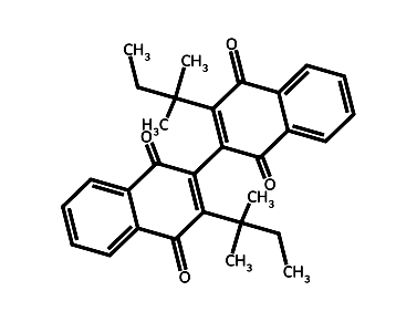 CCC(C)(C)C1=C(C2=C(C(C)(C)CC)C(=O)c3ccccc3C2=O)C(=O)c2ccccc2C1=O